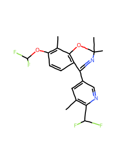 Cc1cc(C2=NC(C)(C)Oc3c2ccc(OC(F)F)c3C)cnc1C(F)F